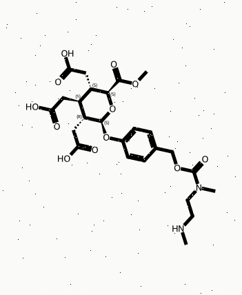 CNCCN(C)C(=O)OCc1ccc(O[C@@H]2O[C@H](C(=O)OC)[C@@H](CC(=O)O)[C@H](CC(=O)O)[C@H]2CC(=O)O)cc1